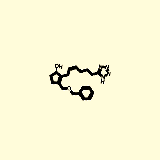 O[C@H]1CCC(COCc2ccccc2)=C1C/C=C\CCCc1nnn[nH]1